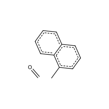 C=O.Cc1cccc2ccccc12